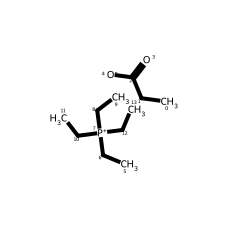 CCC(=O)[O-].CC[P+](CC)(CC)CC